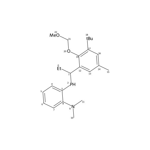 CCC(Pc1ccccc1N(C)C)c1cc(C)cc(C(C)(C)C)c1OCOC